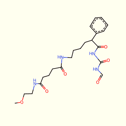 COCCNC(=O)CCCC(=O)NCCCCC(C(=O)NC(=O)NC=O)c1ccccc1